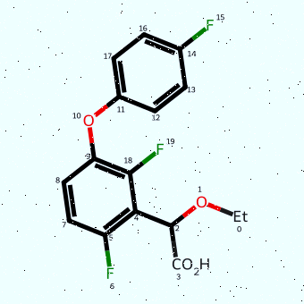 CCOC(C(=O)O)c1c(F)ccc(Oc2ccc(F)cc2)c1F